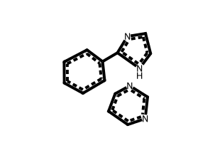 c1ccc(-c2ncc[nH]2)cc1.c1cncnc1